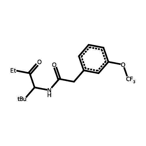 CCC(=O)C(NC(=O)Cc1cccc(OC(F)(F)F)c1)C(C)(C)C